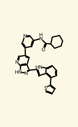 O=C(Nc1cncc(-c2cnc3[nH]nc(-c4cc5c(-c6cccs6)cccc5[nH]4)c3c2)c1)C1CCCCC1